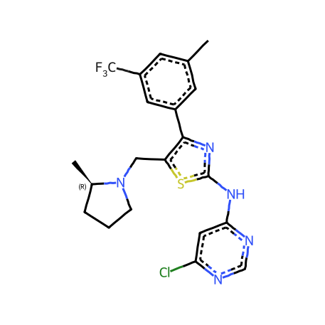 Cc1cc(-c2nc(Nc3cc(Cl)ncn3)sc2CN2CCC[C@H]2C)cc(C(F)(F)F)c1